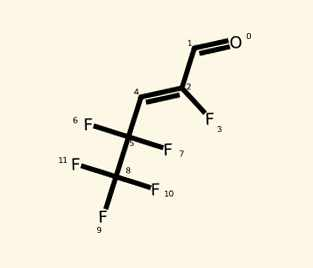 O=CC(F)=CC(F)(F)C(F)(F)F